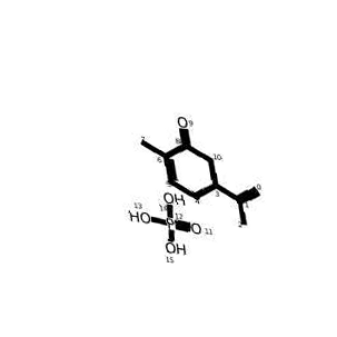 C=C(C)C1CC=C(C)C(=O)C1.O=P(O)(O)O